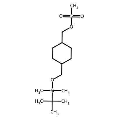 CC(C)(C)[Si](C)(C)OCC1CCC(COS(C)(=O)=O)CC1